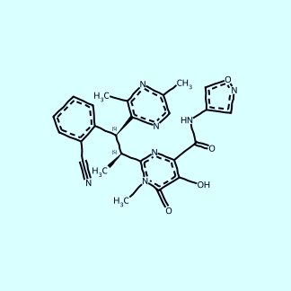 Cc1cnc([C@H](c2ccccc2C#N)[C@H](C)c2nc(C(=O)Nc3cnoc3)c(O)c(=O)n2C)c(C)n1